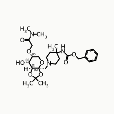 CN(C)C(=O)CO[C@@H]1CO[C@@]2(CN3CCC(C)(NC(=O)OCc4ccccc4)CC3)OC(C)(C)O[C@H]2[C@@H]1O